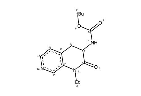 CCN1C(=O)C(NC(=O)OC(C)(C)C)Cc2ccncc21